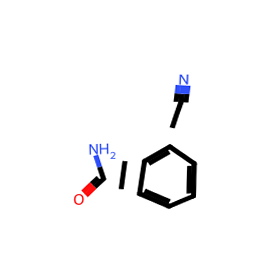 CC.CC#N.NC=O.c1ccccc1